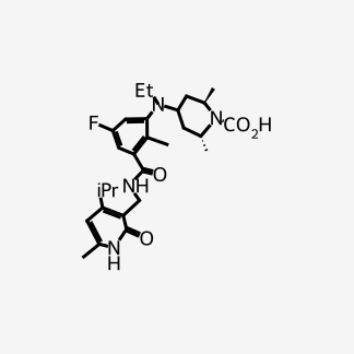 CCN(c1cc(F)cc(C(=O)NCc2c(C(C)C)cc(C)[nH]c2=O)c1C)C1C[C@@H](C)N(C(=O)O)[C@H](C)C1